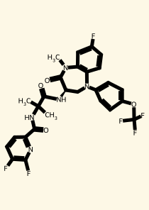 CN1C(=O)[C@H](NC(=O)C(C)(C)NC(=O)c2ccc(F)c(F)n2)CN(c2ccc(OC(F)(F)F)cc2)c2ccc(F)cc21